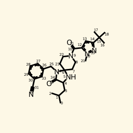 CC(C)CC1NC2(CCN(C(=O)c3cc(C(C)(C)C)nn3C)CC2)N(Cc2cccc(C#N)c2)C1=O